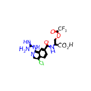 N=C(N)Nc1ncc(Cl)c2ccc(C(=O)NC(COC(=O)C(F)(F)F)C(=O)O)cc12